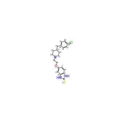 S=c1[nH]c2ccc(OCCN3CCC(Cc4ccc(Cl)cc4)CC3)cc2[nH]1